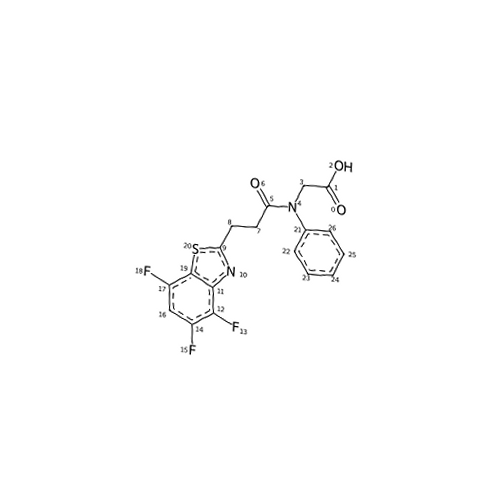 O=C(O)CN(C(=O)CCc1nc2c(F)c(F)cc(F)c2s1)c1ccccc1